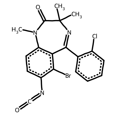 CN1C(=O)C(C)(C)N=C(c2ccccc2Cl)c2c1ccc(N=C=O)c2Br